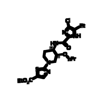 CCCO[C@H]1CN(c2ncc(C(=O)OCC)s2)CC[C@H]1NC(=O)c1nc(Cl)c(CC)[nH]1